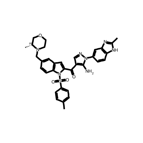 Cc1ccc(S(=O)(=O)n2c(C(=O)c3cnn(-c4ccc5[nH]c(C)nc5c4)c3N)cc3cc(CN4CCOC[C@H]4C)ccc32)cc1